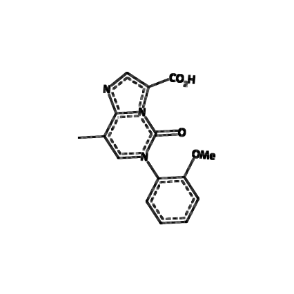 COc1ccccc1-n1cc(C)c2ncc(C(=O)O)n2c1=O